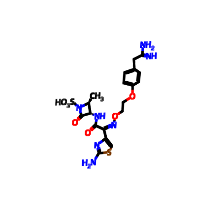 C[C@H]1[C@H](NC(=O)C(=NOCCOc2ccc(CC(=N)N)cc2)c2csc(N)n2)C(=O)N1S(=O)(=O)O